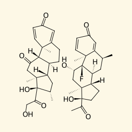 CC(=O)[C@@]1(O)CC[C@H]2[C@@H]3C[C@H](C)C4=CC(=O)C=C[C@]4(C)[C@@]3(F)[C@@H](O)C[C@@]21C.C[C@H]1C[C@H]2[C@@H]3CCC4=CC(=O)C=C[C@]4(C)[C@H]3C(=O)C[C@]2(C)[C@@]1(O)C(=O)CO